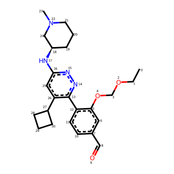 CCOCOc1cc(C=O)ccc1-c1nnc(N[C@@H]2CCCN(C)C2)cc1C1CCC1